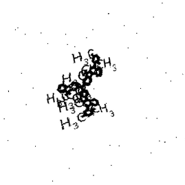 Cc1ccc(C)c(-c2cc3c(c4ccccc24)-c2ccc(N(c4ccc5c(c4)C(C)(C)c4ccccc4-5)c4ccc5c(c4)C(C)(C)c4cc(-c6cc(C)ccc6C)c6ccccc6c4-5)cc2C3(C)C)c1